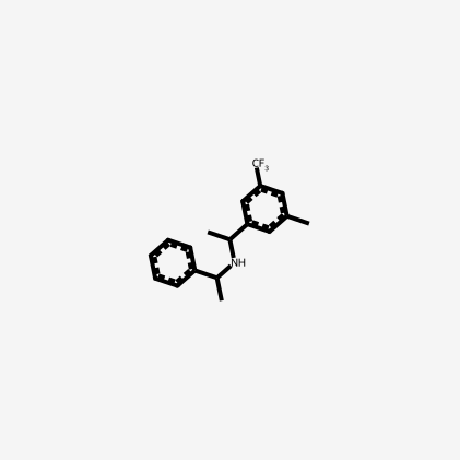 Cc1cc(C(C)NC(C)c2ccccc2)cc(C(F)(F)F)c1